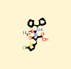 COC(NC(c1ccccc1)c1ccccc1)N1C(=O)[C@H](Cc2ccc(Cl)s2)C1C(=O)O